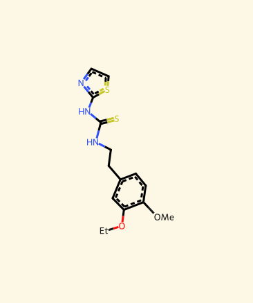 CCOc1cc(CCNC(=S)Nc2nccs2)ccc1OC